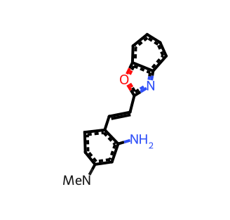 CNc1ccc(C=Cc2nc3ccccc3o2)c(N)c1